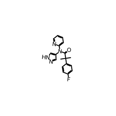 CC(C)(C(=O)N(c1cn[nH]c1)c1ccccn1)c1ccc(F)cc1